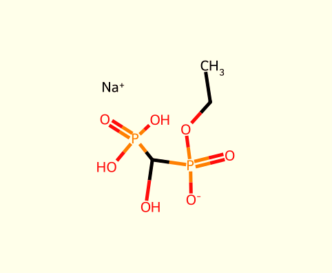 CCOP(=O)([O-])C(O)P(=O)(O)O.[Na+]